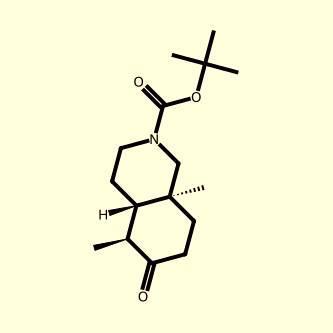 C[C@@H]1C(=O)CC[C@]2(C)CN(C(=O)OC(C)(C)C)CC[C@@H]12